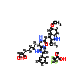 COc1ccc2[nH]c(C)c(CC(=O)N[C@@H](CCCCCC(=O)CO)c3ncc(-c4ccccc4)[nH]3)c2c1.O=C(O)C(F)(F)F